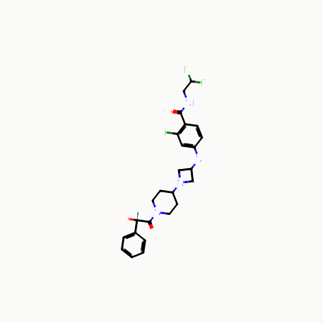 O=C(NCC(F)F)c1ccc(NC2CN(C3CCN(C(=O)[C@@](O)(c4ccccc4)C(F)(F)F)CC3)C2)cc1Cl